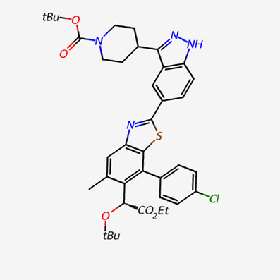 CCOC(=O)[C@@H](OC(C)(C)C)c1c(C)cc2nc(-c3ccc4[nH]nc(C5CCN(C(=O)OC(C)(C)C)CC5)c4c3)sc2c1-c1ccc(Cl)cc1